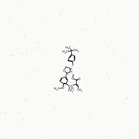 C/C=C(\C)C(=O)OC[C@H]1[C@@H](Cc2ccc(C(C)(C)C)cc2)CO[C@@H]1c1ccc(OC)c(OC)c1